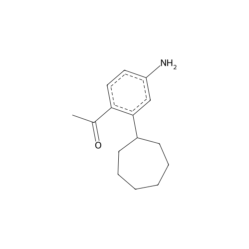 CC(=O)c1ccc(N)cc1C1CCCCCC1